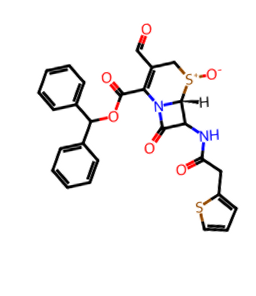 O=CC1=C(C(=O)OC(c2ccccc2)c2ccccc2)N2C(=O)C(NC(=O)Cc3cccs3)[C@H]2[S+]([O-])C1